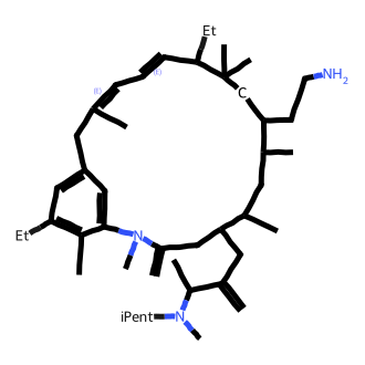 C=C(CC1CC(=C)N(C)c2cc(cc(CC)c2C)C/C(C)=C/C=C/C(CC)C(C)(C)CC(CCN)C(C)CC1C)C(C)N(C)C(C)CCC